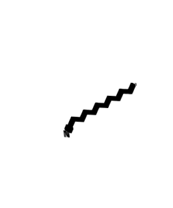 [CH2]CCCCCCCCCCC#N